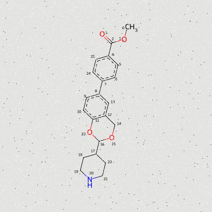 COC(=O)c1ccc(-c2ccc3c(c2)COC(C2CCNCC2)O3)cc1